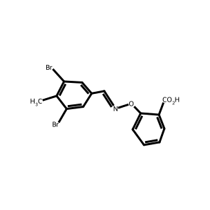 Cc1c(Br)cc(/C=N/Oc2ccccc2C(=O)O)cc1Br